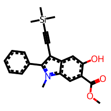 COC(=O)c1cc2c(cc1O)c(C#C[Si](C)(C)C)c(-c1ccccc1)n2C